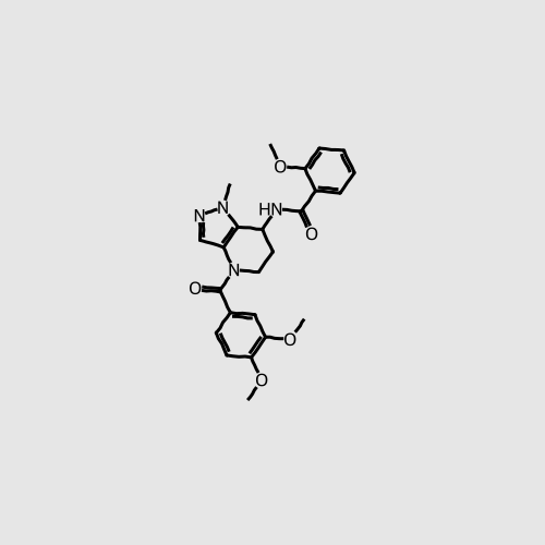 COc1ccc(C(=O)N2CCC(NC(=O)c3ccccc3OC)c3c2cnn3C)cc1OC